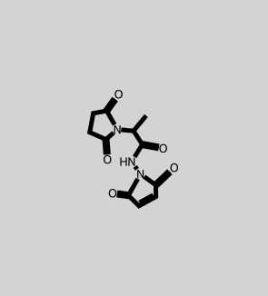 CC(C(=O)NN1C(=O)C=CC1=O)N1C(=O)CCC1=O